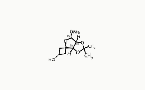 CO[C@@H]1O[C@]2(C[C@H](O)C2)[C@H]2OC(C)(C)O[C@@H]12